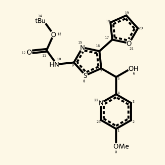 COc1ccc(C(O)c2sc(NC(=O)OC(C)(C)C)nc2-c2ccco2)nc1